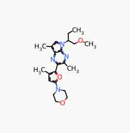 CCC(COC)n1cc(C)c2nc(-c3oc(N4CCOCC4)cc3C)c(C)nc21